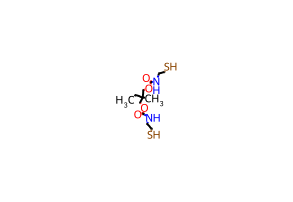 CCC(C)(COC(=O)NCCS)COC(=O)NCCS